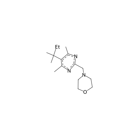 CCC(C)(C)c1c(C)nc(CN2CCOCC2)nc1C